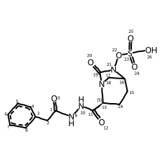 O=C(Cc1ccccc1)NNC(=O)[C@@H]1CCC2CN1C(=O)N2OS(=O)(=O)O